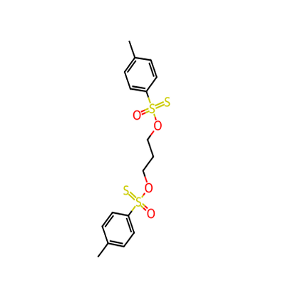 Cc1ccc(S(=O)(=S)OCCCOS(=O)(=S)c2ccc(C)cc2)cc1